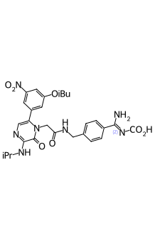 CC(C)COc1cc(-c2cnc(NC(C)C)c(=O)n2CC(=O)NCc2ccc(/C(N)=N/C(=O)O)cc2)cc([N+](=O)[O-])c1